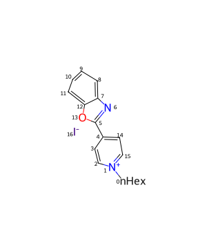 CCCCCC[n+]1ccc(-c2nc3ccccc3o2)cc1.[I-]